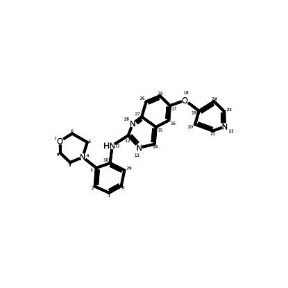 c1ccc(N2CCOCC2)c(Nc2ncc3cc(Oc4ccncc4)ccc3n2)c1